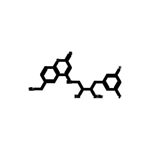 CC(=O)NC(Cc1cc(F)cc(F)c1)C(O)CNc1cc(=O)oc2ccc(CC(C)(C)C)cc12